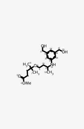 COC(=O)CCC(C)(C)OCCC(C)Nc1cc(CO)cc(CO)c1